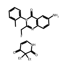 CCC1(CC)C(=O)C=CNC1=O.Cc1ccccc1-n1c(CF)nc2ccc(N)cc2c1=O